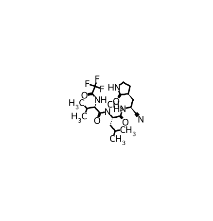 CC(C)C[C@@H](C(=O)N[C@H](C#N)C[C@@H]1CCNC1=O)N(C)C(=O)[C@@H](NC(=O)C(F)(F)F)C(C)C